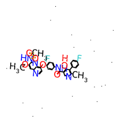 COc1cc2nccc(Oc3ccc(NC(=O)c4cnc(C)c(-c5ccc(F)cc5)c4O)cc3F)c2nc1NS(C)(=O)=O